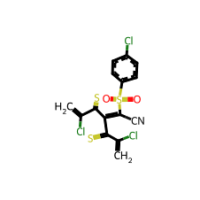 C=C(Cl)C(=S)C(C(=S)C(=C)Cl)=C(C#N)S(=O)(=O)c1ccc(Cl)cc1